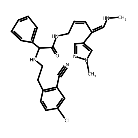 CN/C=C(\C=C/CNC(=O)C(NCCc1ccc(Cl)cc1C#N)c1ccccc1)c1cnn(C)c1